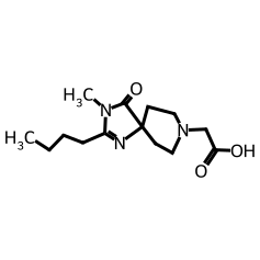 CCCCC1=NC2(CCN(CC(=O)O)CC2)C(=O)N1C